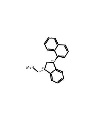 CNC[C@@H]1C[C@@H](c2cccc3ccccc23)c2ccccc21